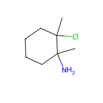 CC1(N)CCCCC1(C)Cl